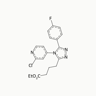 CCOC(=O)CCCc1nnc(-c2ccc(F)cc2)n1-c1ccnc(Cl)c1